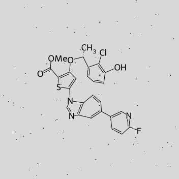 COC(=O)c1sc(-n2cnc3cc(-c4ccc(F)nc4)ccc32)cc1O[C@H](C)c1cccc(O)c1Cl